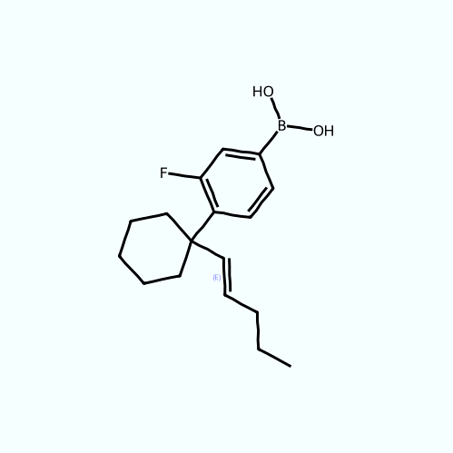 CCC/C=C/C1(c2ccc(B(O)O)cc2F)CCCCC1